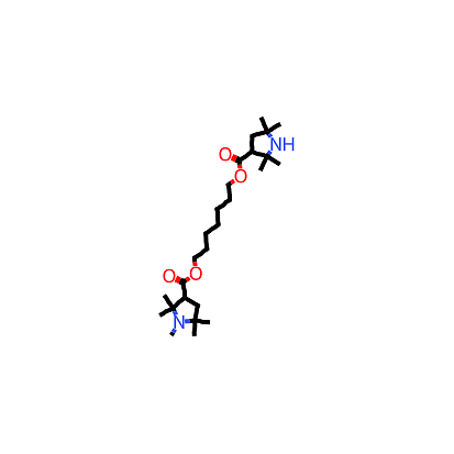 CN1C(C)(C)CC(C(=O)OCCCCCCCOC(=O)C2CC(C)(C)NC2(C)C)C1(C)C